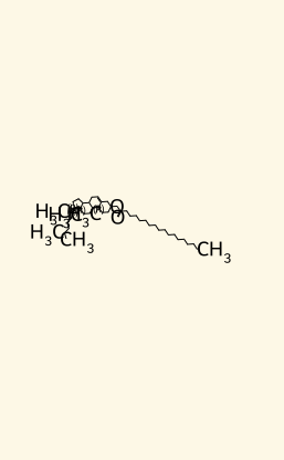 CCCCCCCCCCCCCCCCCC(=O)OC1CC[C@@]2(C)C(=CCC3C2CC[C@@]2(C)C3CC[C@@H]2[C@H](C)CCCC(C)C)C1